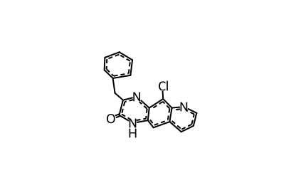 O=c1[nH]c2cc3cccnc3c(Cl)c2nc1Cc1ccccc1